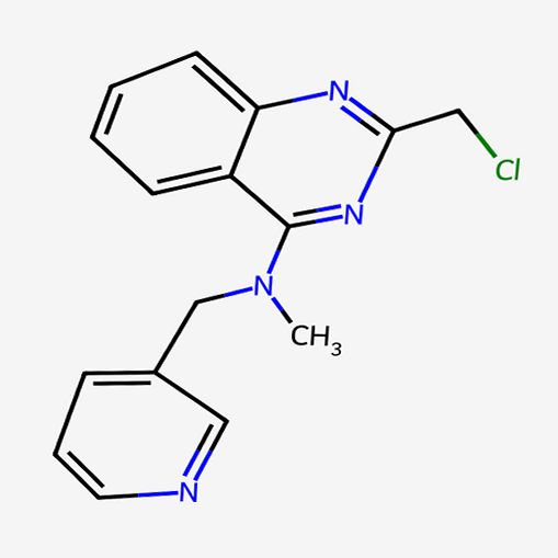 CN(Cc1cccnc1)c1nc(CCl)nc2ccccc12